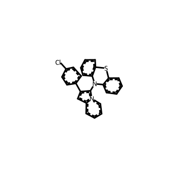 Clc1ccc(-c2cc3ccccn3c2N2c3ccccc3Sc3ccccc32)cc1